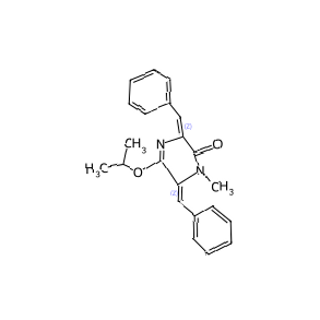 CC(C)Oc1n/c(=C\c2ccccc2)c(=O)n(C)/c1=C\c1ccccc1